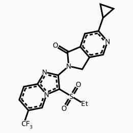 CCS(=O)(=O)c1c(N2Cc3cnc(C4CC4)cc3C2=O)nc2ccc(C(F)(F)F)cn12